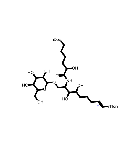 CCCCCCCCC/C=C/CCCC(O)C(O)C(COC1OC(CO)C(O)C(O)C1O)NC(=O)C(O)CCCCCCCCCCCCCC